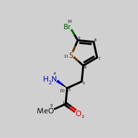 COC(=O)[C@@H](N)Cc1ccc(Br)s1